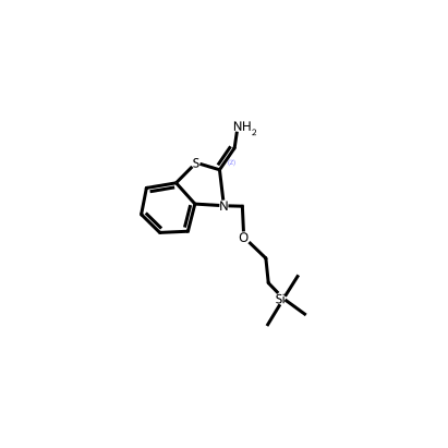 C[Si](C)(C)CCOCN1/C(=C/N)Sc2ccccc21